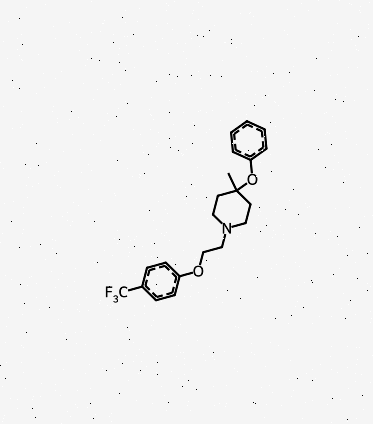 CC1(Oc2ccccc2)CCN(CCOc2ccc(C(F)(F)F)cc2)CC1